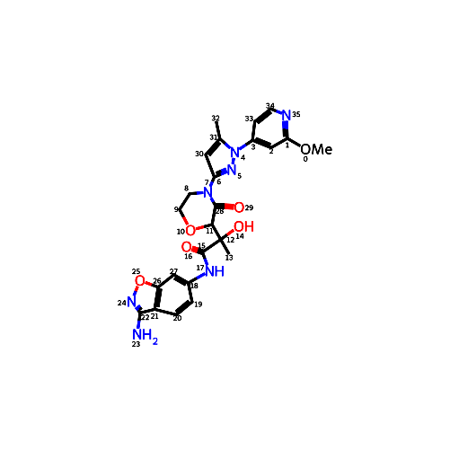 COc1cc(-n2nc(N3CCOC(C(C)(O)C(=O)Nc4ccc5c(N)noc5c4)C3=O)cc2C)ccn1